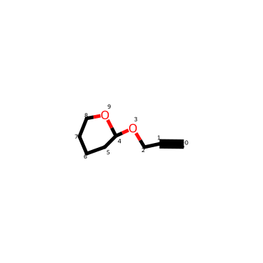 [C]#CCOC1CCCCO1